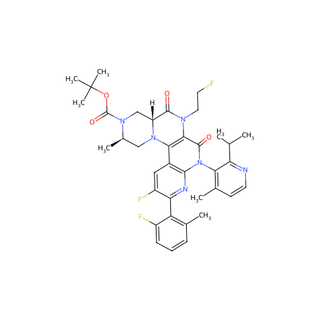 Cc1cccc(F)c1-c1nc2c(cc1F)c1c(c(=O)n2-c2c(C)ccnc2C(C)C)N(CCF)C(=O)[C@H]2CN(C(=O)OC(C)(C)C)[C@H](C)CN12